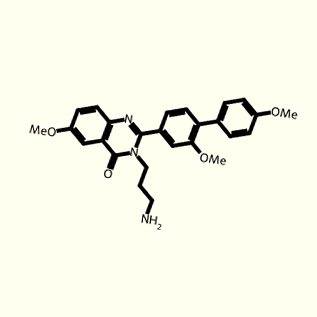 COc1ccc(-c2ccc(-c3nc4ccc(OC)cc4c(=O)n3CCCN)cc2OC)cc1